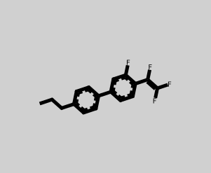 CCCc1ccc(-c2ccc(C(F)=C(F)F)c(F)c2)cc1